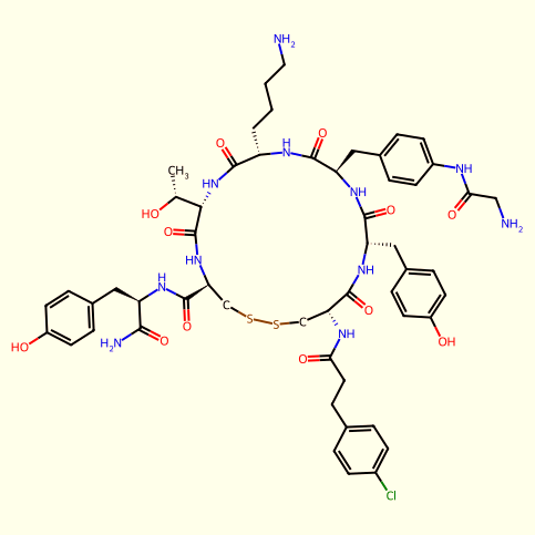 C[C@@H](O)[C@@H]1NC(=O)[C@H](CCCCN)NC(=O)[C@@H](Cc2ccc(NC(=O)CN)cc2)NC(=O)[C@H](Cc2ccc(O)cc2)NC(=O)[C@H](NC(=O)CCc2ccc(Cl)cc2)CSSC[C@@H](C(=O)N[C@H](Cc2ccc(O)cc2)C(N)=O)NC1=O